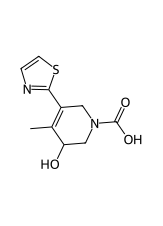 CC1=C(c2nccs2)CN(C(=O)O)CC1O